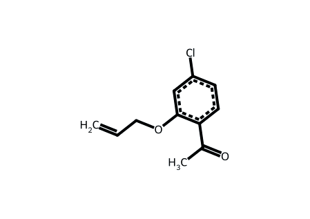 C=CCOc1cc(Cl)ccc1C(C)=O